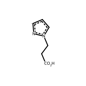 O=C(O)CCn1cc[c]n1